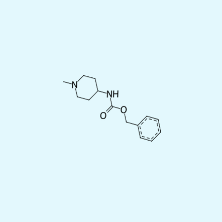 CN1CCC(NC(=O)OCc2ccccc2)CC1